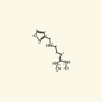 CCN/C(=N/CCNCc1ccon1)NC#N